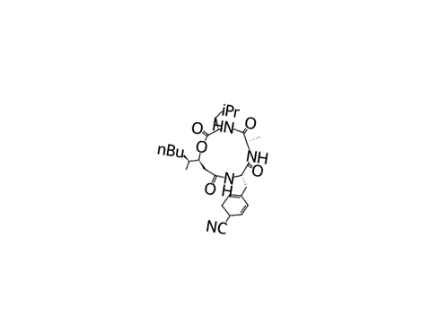 CCCC[C@H](C)[C@@H]1CC(=O)N[C@@H](CC2=CCC(C#N)C=C2)C(=O)N[C@@H](C)C(=O)N[C@H](CC(C)C)C(=O)O1